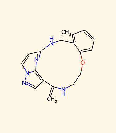 C=C1NCCOc2ccccc2[C@@H](C)Nc2ccn3ncc1c3n2